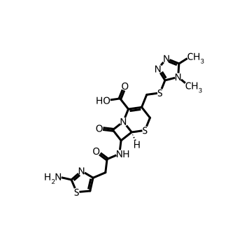 Cc1nnc(SCC2=C(C(=O)O)N3C(=O)C(NC(=O)Cc4csc(N)n4)[C@@H]3SC2)n1C